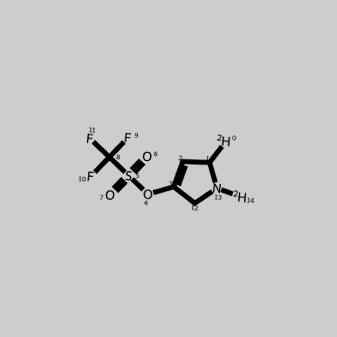 [2H]C1C=C(OS(=O)(=O)C(F)(F)F)CN1[2H]